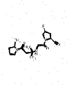 CC1CCCN1C(=O)CC(C)(C)NCC(=O)N1C[C@@H](F)C[C@H]1C#N